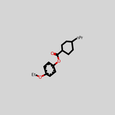 CCCC1CCC(C(=O)Oc2ccc(OCC)cc2)CC1